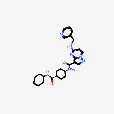 O=C(N[C@H]1CC[C@H](C(=O)NC2CCCCC2)CC1)c1cnn2ccc(NCc3cccnc3)nc12